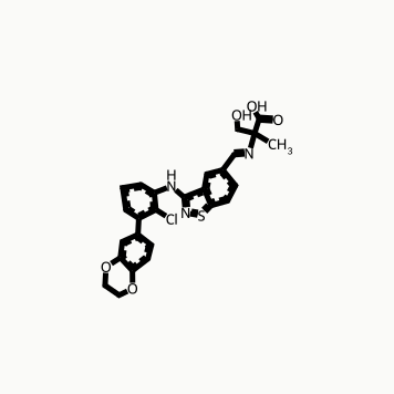 CC(CO)(N=Cc1ccc2snc(Nc3cccc(-c4ccc5c(c4)OCCO5)c3Cl)c2c1)C(=O)O